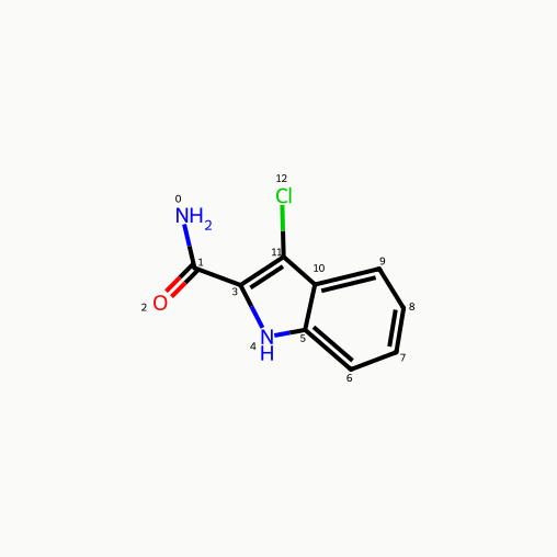 NC(=O)c1[nH]c2ccccc2c1Cl